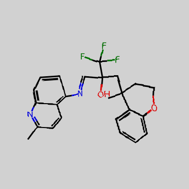 Cc1ccc2c(N=CC(O)(CC3(C)CCOc4ccccc43)C(F)(F)F)cccc2n1